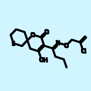 C=C(Cl)CON=C(CCC)C1=C(O)CC2(CCCSC2)OC1=O